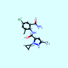 Cc1cc(Br)cc(C(N)=O)c1NC(=O)c1cc(C(F)(F)F)nn1C1CC1